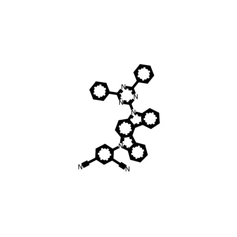 N#Cc1ccc(-n2c3ccccc3c3c4c5ccccc5n(-c5nc(-c6ccccc6)nc(-c6ccccc6)n5)c4ccc32)c(C#N)c1